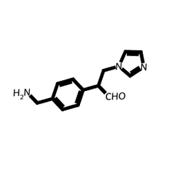 NCc1ccc(C(C=O)Cn2ccnc2)cc1